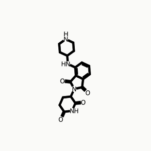 O=C1CCC(N2C(=O)c3cccc(NC4CCNCC4)c3C2=O)C(=O)N1